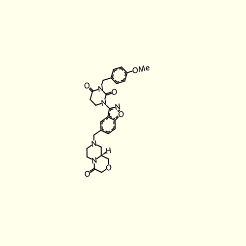 COc1ccc(CN2C(=O)CCN(c3noc4ccc(CN5CCN6C(=O)COC[C@H]6C5)cc34)C2=O)cc1